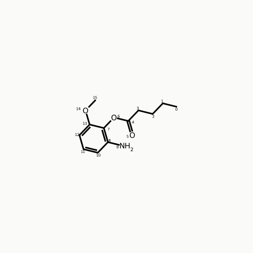 CCCCC(=O)Oc1c(N)cccc1OC